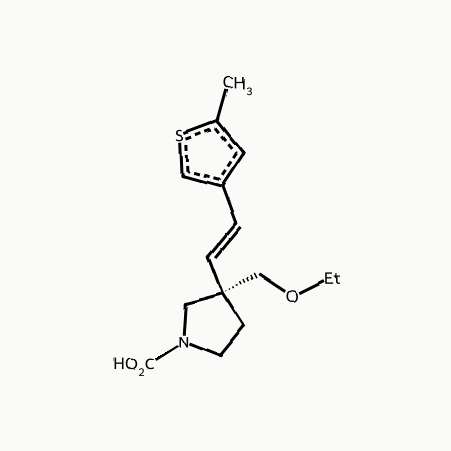 CCOC[C@]1(/C=C/c2csc(C)c2)CCN(C(=O)O)C1